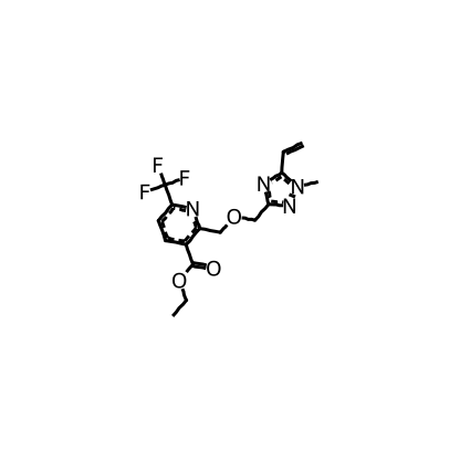 C=Cc1nc(COCc2nc(C(F)(F)F)ccc2C(=O)OCC)nn1C